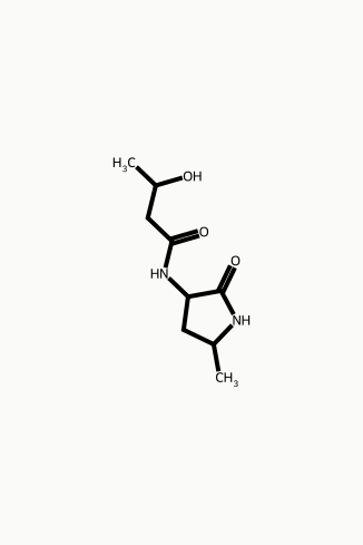 CC(O)CC(=O)NC1CC(C)NC1=O